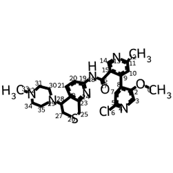 COc1cnc(Cl)cc1-c1cc(C)ncc1C(=O)Nc1ccc2c(n1)CSCC2N1CCN(C)CC1